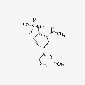 CCN(CCO)c1ccc(NS(=O)(=O)O)c(NC)c1